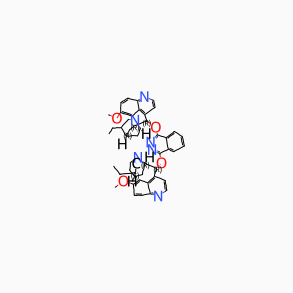 CCC1CN2CC[C@@H]1C[C@@H]2[C@H](Oc1nnc(O[C@H](c2ccnc3ccc(OC)cc23)[C@H]2C[C@@H]3CCN2CC3CC)c2ccccc12)c1ccnc2ccc(OC)cc12